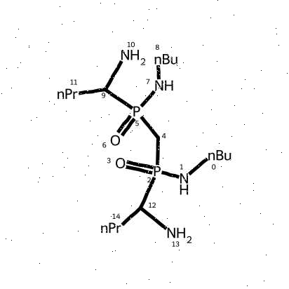 CCCCNP(=O)(CP(=O)(NCCCC)C(N)CCC)C(N)CCC